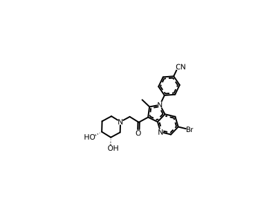 Cc1c(C(=O)CN2CC[C@@H](O)[C@@H](O)C2)c2ncc(Br)cc2n1-c1ccc(C#N)cc1